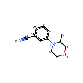 CC1COCCN1c1cccc(C#N)c1